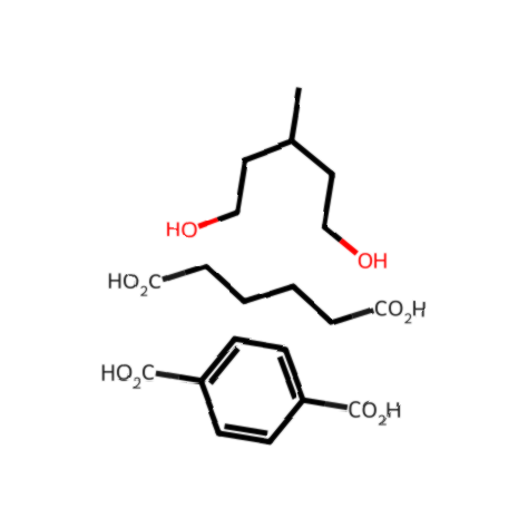 CC(CCO)CCO.O=C(O)CCCCC(=O)O.O=C(O)c1ccc(C(=O)O)cc1